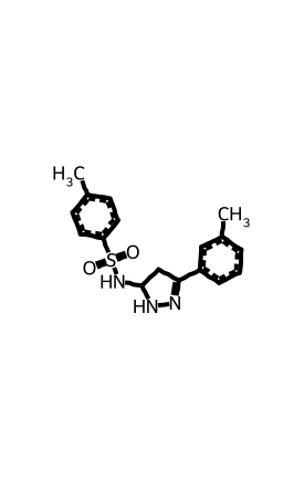 Cc1ccc(S(=O)(=O)NC2CC(c3cccc(C)c3)=NN2)cc1